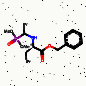 COP(=O)(OC)C(N[C@@H](CC(C)C)C(=O)OCc1ccccc1)C(C)C